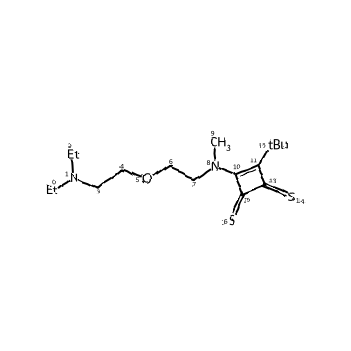 CCN(CC)CCOCCN(C)c1c(C(C)(C)C)c(=S)c1=S